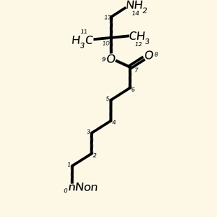 CCCCCCCCCCCCCCCC(=O)OC(C)(C)CN